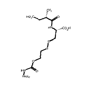 CC(=O)NNC(=O)OCCSSC[C@H](NC(=O)[C@@H](C)CC(=O)O)C(=O)O